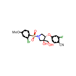 COc1ccc(S(=O)(=O)N2C[C@H](Oc3ccc(C#N)c(F)c3)[C@](O)(CO)C2)c(Br)c1